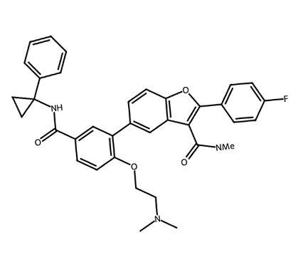 CNC(=O)c1c(-c2ccc(F)cc2)oc2ccc(-c3cc(C(=O)NC4(c5ccccc5)CC4)ccc3OCCN(C)C)cc12